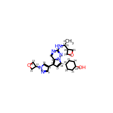 C[C@H](Nc1ncc2c(-c3cnn(C4COC4)c3)cc([C@H]3CC[C@H](O)CC3)n2n1)C1COC1